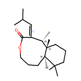 CC(C)/C=C1\C(=O)OCCC[C@@H]2C(C)(C)CCC[C@@]2(C)[C@H]1C